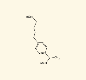 CCCCCCCCCCCCc1ccc(C(C)OC)cc1